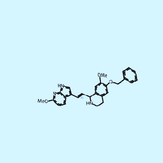 COc1ccc2c(/C=C/C3NCCc4cc(OCc5ccccc5)c(OC)cc43)c[nH]c2n1